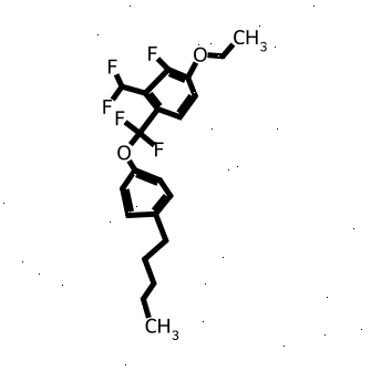 CCCCCc1ccc(OC(F)(F)c2ccc(OCC)c(F)c2C(F)F)cc1